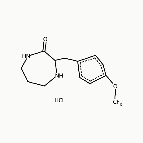 Cl.O=C1NCCCNC1Cc1ccc(OC(F)(F)F)cc1